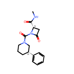 CNC(=O)[C@@H]1CC(=O)N1C(=O)N1CCC[C@@H](c2ccccc2)C1